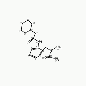 CN(Cc1ccccc1NC(=O)CC1CCCCC1)C(N)=O